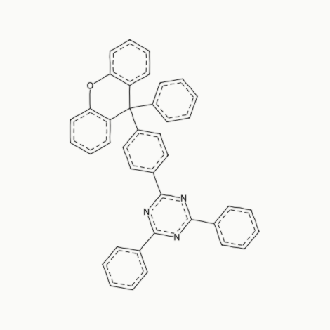 c1ccc(-c2nc(-c3ccccc3)nc(-c3ccc(C4(c5ccccc5)c5ccccc5Oc5ccccc54)cc3)n2)cc1